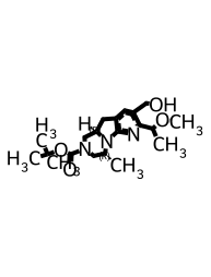 COC(C)c1nc2c(cc1CO)C[C@@H]1CN(C(=O)OC(C)(C)C)C[C@@H](C)N21